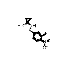 CC1(NSc2ccc([N+](=O)[O-])c(F)c2)CC1